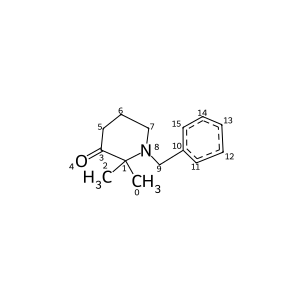 CC1(C)C(=O)CCCN1Cc1ccccc1